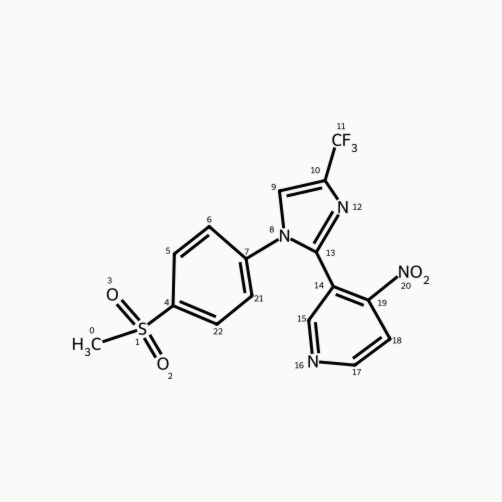 CS(=O)(=O)c1ccc(-n2cc(C(F)(F)F)nc2-c2cnccc2[N+](=O)[O-])cc1